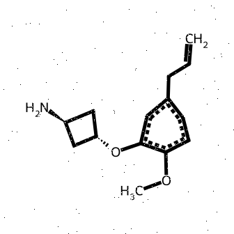 C=CCc1ccc(OC)c(O[C@H]2C[C@H](N)C2)c1